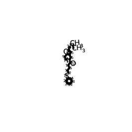 CN(C)Cc1cc2c(o1)CCN(C(=O)CCCCSc1ccccc1)C2